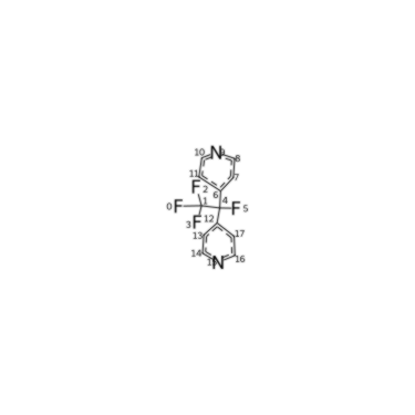 FC(F)(F)C(F)(c1ccncc1)c1ccncc1